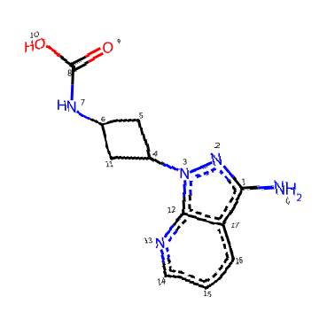 Nc1nn(C2CC(NC(=O)O)C2)c2ncccc12